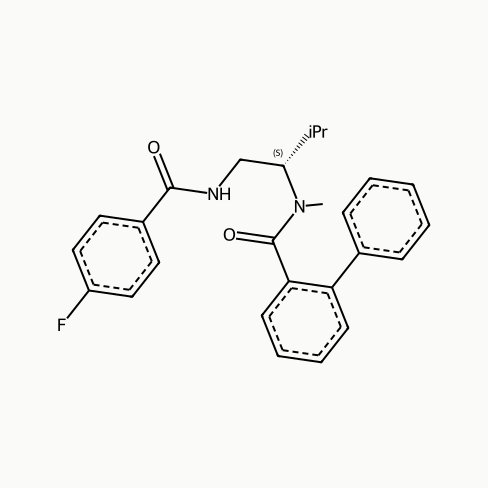 CC(C)[C@@H](CNC(=O)c1ccc(F)cc1)N(C)C(=O)c1ccccc1-c1ccccc1